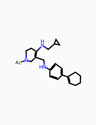 CC(=O)N1CCC(NCC2CC2)=C(CNc2ccc(C3=CCCCC3)cc2)C1